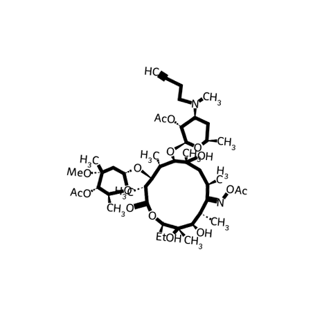 C#CCCN(C)[C@H]1C[C@@H](C)O[C@@H](O[C@@H]2[C@@H](C)[C@H](O[C@H]3C[C@@](C)(OC)[C@@H](OC(C)=O)[C@H](C)O3)[C@@H](C)C(=O)O[C@H](CC)[C@@](C)(O)[C@H](O)[C@@H](C)/C(=N/OC(C)=O)[C@H](C)C[C@@]2(C)O)[C@@H]1OC(C)=O